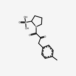 Cc1ccc(CC(=O)C(=O)N2CCCC2P(=O)(O)O)cc1